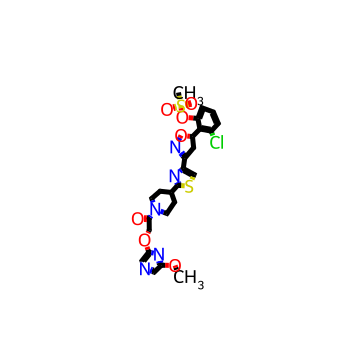 COc1cncc(OCC(=O)N2CCC(c3nc(C4=NOC(c5c(Cl)cccc5OS(C)(=O)=O)C4)cs3)CC2)n1